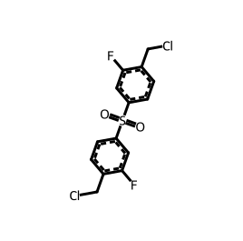 O=S(=O)(c1ccc(CCl)c(F)c1)c1ccc(CCl)c(F)c1